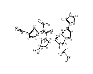 COC(=O)C[C@H](NC(=O)[C@@H]1C[C@@H](O)CN1C(=O)[C@H](C(C)C)n1ccc(C#N)n1)c1ccc(-c2scnc2C)cc1